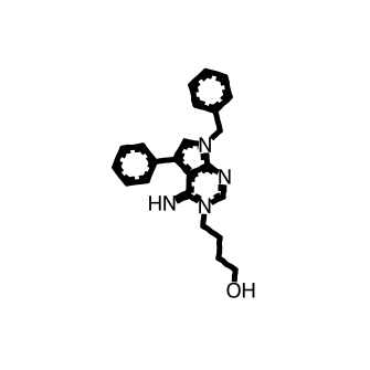 N=c1c2c(-c3ccccc3)cn(Cc3ccccc3)c2ncn1CCCCO